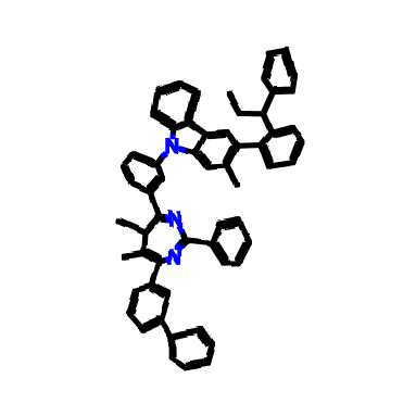 CCC(c1ccccc1)c1ccccc1-c1cc2c3ccccc3n(-c3cccc(C4=NC(c5ccccc5)=NC(c5cccc(-c6ccccc6)c5)=C(C)C4C)c3)c2cc1C